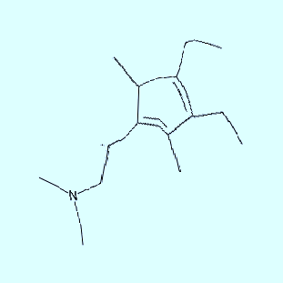 CCC1=C(CC)C(C)C([CH]CN(C)C)=C1C